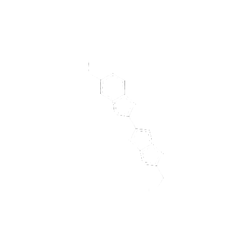 CCc1nn2cc(-c3nc4ccc(OC)cc4o3)nc2s1